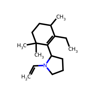 C=CN1CCCC1C1=C(CC)C(C)CCC1(C)C